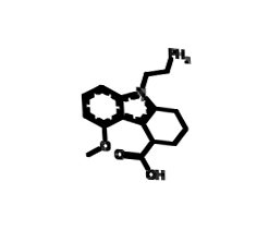 COc1cccc2c1c1c(n2CCP)CCCC1C(=O)O